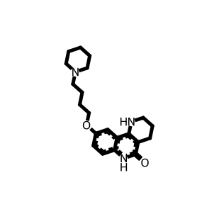 O=c1[nH]c2ccc(OCCCCN3CCCCC3)cc2c2c1CCCN2